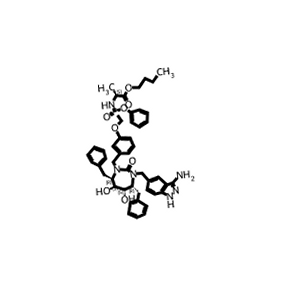 CCCCOC(=O)[C@H](C)NP(=O)(COc1cccc(CN2C(=O)N(Cc3ccc4[nH]nc(N)c4c3)[C@H](Cc3ccccc3)[C@H](O)[C@@H](O)[C@H]2Cc2ccccc2)c1)Oc1ccccc1